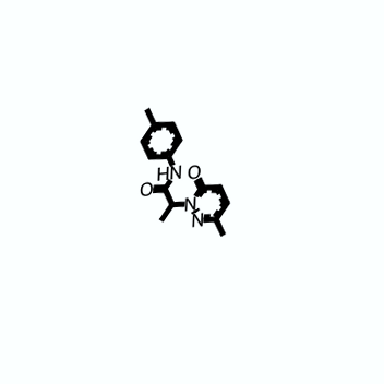 Cc1ccc(NC(=O)C(C)n2nc(C)ccc2=O)cc1